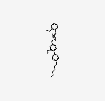 CCCCCCc1ccc(-c2ccc(C=NN=Cc3ccccc3CC)cc2F)cc1